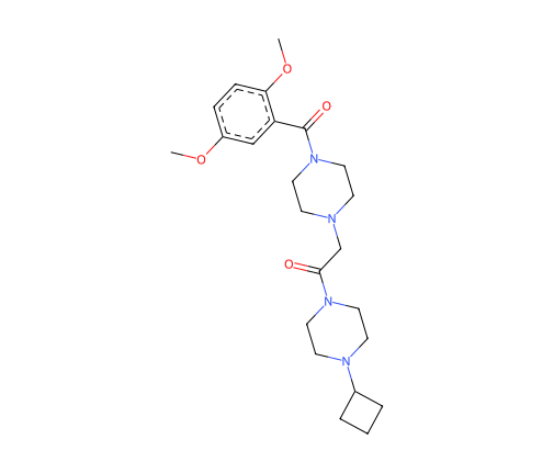 COc1ccc(OC)c(C(=O)N2CCN(CC(=O)N3CCN(C4CCC4)CC3)CC2)c1